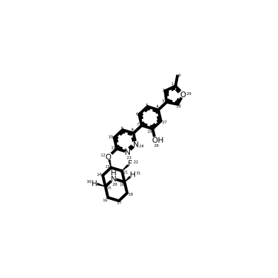 Cc1cc(-c2ccc(-c3ccc(O[C@@H]4C[C@H]5CCC[C@H](N5)[C@@H]4F)nn3)c(O)c2)co1